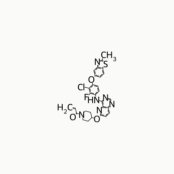 C=CC(=O)N1CCC(Oc2ccc3ncnc(Nc4ccc(Oc5ccc6sc(C)nc6c5)c(Cl)c4F)c3n2)CC1